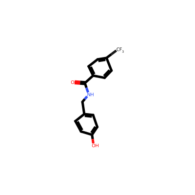 O=C(NCc1ccc(O)cc1)c1ccc(C(F)(F)F)cc1